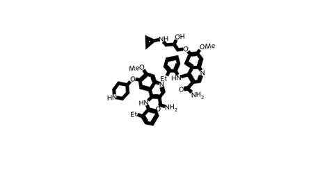 CCc1ccccc1Nc1c(C(N)=O)cnc2cc(OC)c(OC3CCNCC3)cc12.CCc1ccccc1Nc1c(C(N)=O)cnc2cc(OC)c(OCC(O)CNC3CC3)cc12